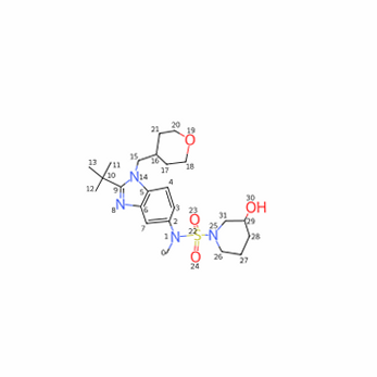 CN(c1ccc2c(c1)nc(C(C)(C)C)n2CC1CCOCC1)S(=O)(=O)N1CCCC(O)C1